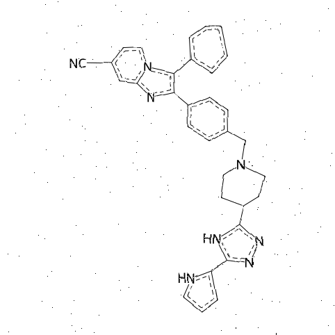 N#Cc1ccn2c(-c3ccccc3)c(-c3ccc(CN4CCC(c5nnc(-c6ccc[nH]6)[nH]5)CC4)cc3)nc2c1